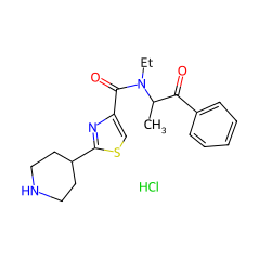 CCN(C(=O)c1csc(C2CCNCC2)n1)C(C)C(=O)c1ccccc1.Cl